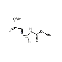 CC[C@@H](/C=C/C(=O)OC)NC(=O)OC(C)(C)C